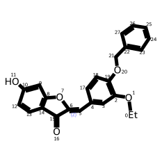 CCOc1cc(/C=C2\Oc3cc(O)ccc3C2=O)ccc1OCc1ccccc1